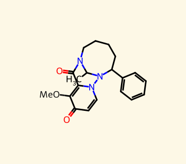 COc1c2n(ccc1=O)N1C(c3ccccc3)CCCCN(C2=O)C1C